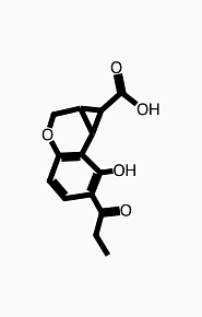 CCC(=O)c1ccc2c(c1O)C1C(CO2)C1C(=O)O